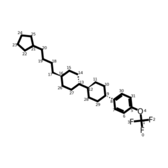 FC(F)(F)Oc1ccc([C@H]2CC[C@H]([C@H]3CC[C@H](CCCCC4CCCC4)CC3)CC2)cc1